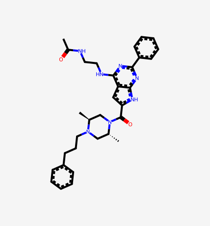 CC(=O)NCCNc1nc(-c2ccccc2)nc2[nH]c(C(=O)N3C[C@H](C)N(CCCc4ccccc4)C[C@H]3C)cc12